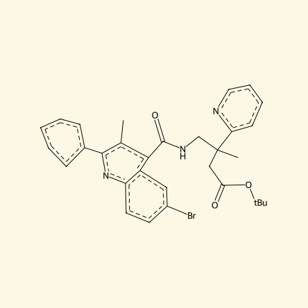 Cc1c(-c2ccccc2)nc2ccc(Br)cc2c1C(=O)NCC(C)(CC(=O)OC(C)(C)C)c1ccccn1